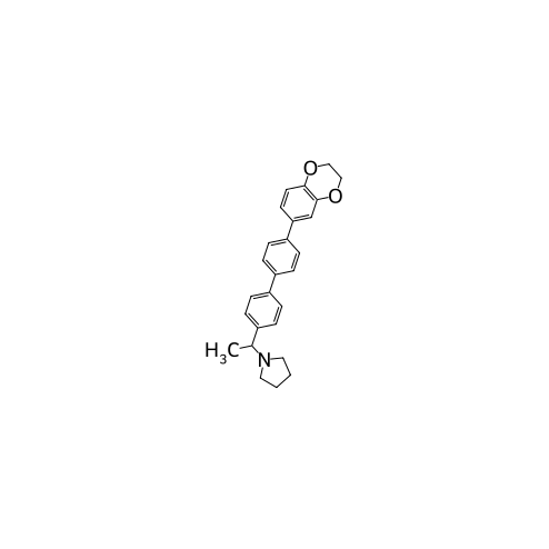 CC(c1ccc(-c2ccc(-c3ccc4c(c3)OCCO4)cc2)cc1)N1CCCC1